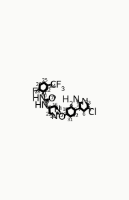 Nc1ncc(Cl)cc1-c1ccc(Oc2ncc(NC(=O)Nc3cc(C(F)(F)F)ccc3F)cn2)cc1